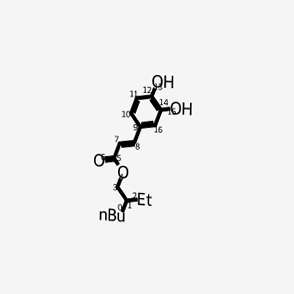 CCCCC(CC)COC(=O)C=Cc1ccc(O)c(O)c1